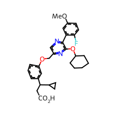 COc1ccc(F)c(-c2ncc(COc3cccc(C(CC(=O)O)C4CC4)c3)nc2OC2CCCCC2)c1